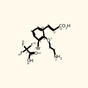 NCCOc1c(Br)cccc1/C=C/C(=O)O.O=C(O)C(F)(F)F